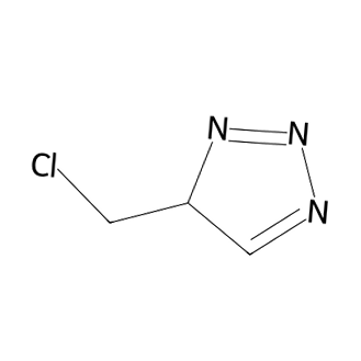 ClCC1C=NN=N1